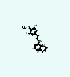 COc1c(F)cc(CCSc2cccc3cccnc23)cc1F